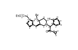 CCOC(=O)Cn1ccc(C=C2CN(C(C(=O)C3CC3)c3ccccc3F)CCC2SC(C)=O)c1